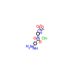 COC(=O)C(Cc1ccc(N2CC(OC)=C(c3ccc(C(=N)N)cc3)C2=O)cc1)NC(C)=O.Cl